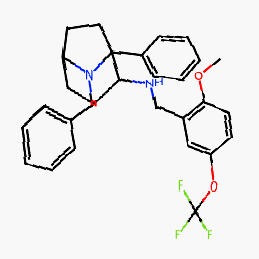 COc1ccc(OC(F)(F)F)cc1CNC1CCC2CCC1(c1ccccc1)N2Cc1ccccc1